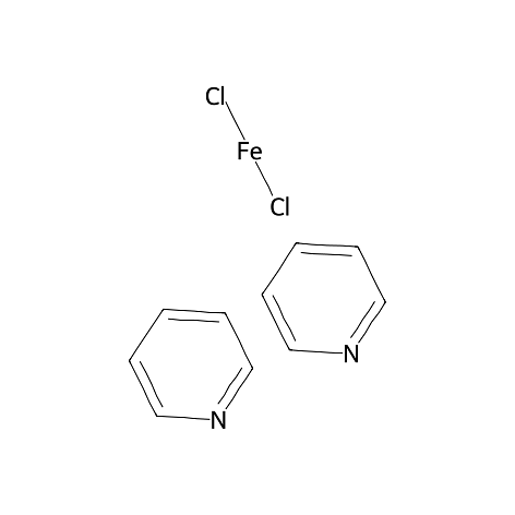 [Cl][Fe][Cl].c1ccncc1.c1ccncc1